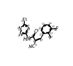 CCc1nnc(NC(=O)C(C#N)=Cc2cccc(F)c2F)s1